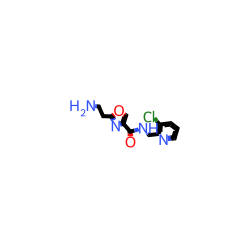 NCCc1nc(C(=O)NCc2ncccc2Cl)co1